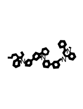 C=Cc1c(/C=C\CC)c2ccccc2n1-c1cccc(-c2ccc3c4c(n(-c5cccc(-c6cccc(C/N=C(\C=C(/N=C)c7ccccc7)c7ccccc7)c6)c5)c3c2)CCC=C4)c1